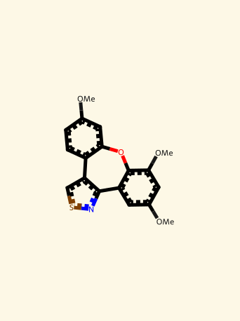 COc1ccc2c(c1)Oc1c(OC)cc(OC)cc1-c1nscc1-2